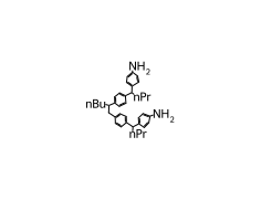 CCCCC(Cc1ccc(C(CCC)c2ccc(N)cc2)cc1)c1ccc(C(CCC)c2ccc(N)cc2)cc1